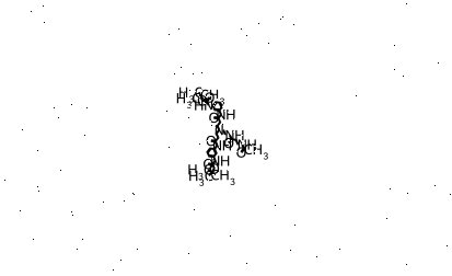 CC(=O)NCCC(=O)NCCN(CCC(=O)Nc1cccc(NC(=O)OC(C)(C)C)c1)CCC(=O)Nc1cccc(NC(=O)OC(C)(C)C)c1